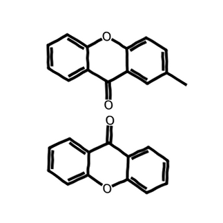 Cc1ccc2oc3ccccc3c(=O)c2c1.O=c1c2ccccc2oc2ccccc12